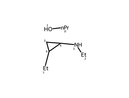 CCCO.CCNC1CC1CC